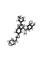 Fc1ccc(Nc2nc(-c3cccnc3)nc3ccc(OCCN4CCOCC4)cc23)cc1Cl